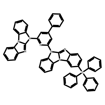 c1ccc(-c2cc(-n3c4ccccc4n4c5ccccc5nc34)nc(-n3c4ccccc4n4c5cc(S(c6ccccc6)(c6ccccc6)c6ccccc6)ccc5nc34)c2)cc1